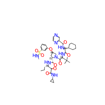 CCC[C@H](NC(=O)[C@@H]1C[C@@H](Oc2cccc(S(=O)(=O)NC)c2)CN1C(=O)[C@@H](NC(=O)[C@@H](NC(=O)c1cnccn1)C1CCCCC1)C(C)(C)C)C(=O)C(=O)NC1CC1